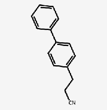 N#CCCc1ccc(-c2ccccc2)cc1